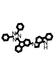 c1ccc(-c2nc(-c3ccccc3)nc(C3c4ccccc4-c4cc(-n5ccc6c7[nH]c8ccccc8c7ccc65)ccc43)n2)cc1